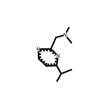 CC(C)c1ccnc(CN(C)C)n1